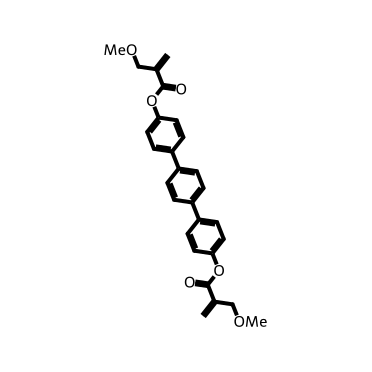 C=C(COC)C(=O)Oc1ccc(-c2ccc(-c3ccc(OC(=O)C(=C)COC)cc3)cc2)cc1